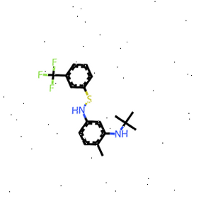 Cc1ccc(NSc2cccc(C(F)(F)F)c2)cc1NC(C)(C)C